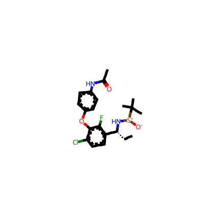 CC[C@@H](N[S+]([O-])C(C)(C)C)c1ccc(Cl)c(Oc2ccc(NC(C)=O)cc2)c1F